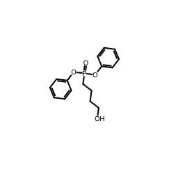 O=P(CCCCO)(Oc1ccccc1)Oc1ccccc1